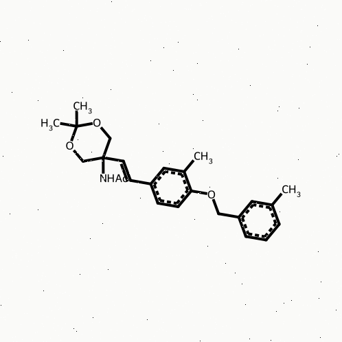 CC(=O)NC1(/C=C/c2ccc(OCc3cccc(C)c3)c(C)c2)COC(C)(C)OC1